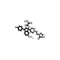 Cc1ccc2c(c1)C(OC(=O)C(=O)O)(C1CCN(CCN3CCNC3=O)CC1)C=C2c1ccc(F)cc1